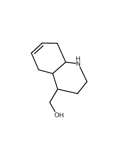 OCC1CCNC2CC=CCC12